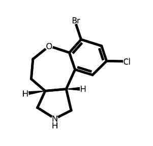 Clc1cc(Br)c2c(c1)[C@@H]1CNC[C@@H]1CCO2